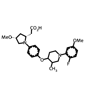 COc1ccc(F)c(N2CCC(Oc3ccc(N4C[C@H](OC)C[C@@H]4CC(=O)O)cc3)C(C)C2)c1